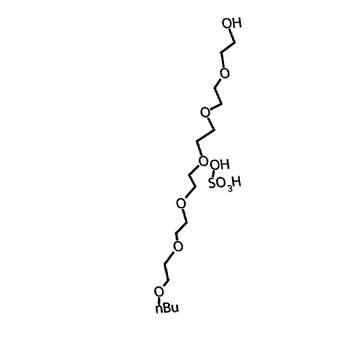 CCCCOCCOCCOCCOCCOCCOCCO.O=S(=O)(O)O